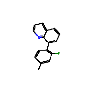 Cc1ccc(-c2cccc3cccnc23)c(F)c1